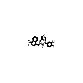 C[C@H](c1c[nH]c(=O)c2ccccc12)N(Cc1cscn1)C(=O)Nc1ccc(F)c(Cl)c1